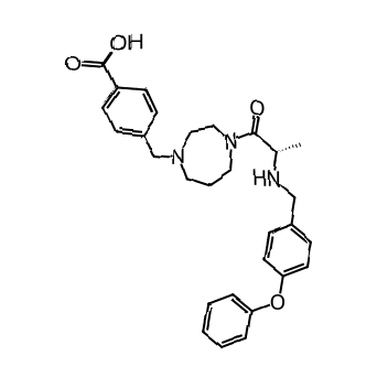 C[C@H](NCc1ccc(Oc2ccccc2)cc1)C(=O)N1CCCN(Cc2ccc(C(=O)O)cc2)CC1